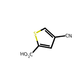 N#Cc1csc(C(=O)O)c1